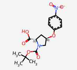 CC(C)(C)OC(=O)N1C[C@H](Oc2ccc([N+](=O)[O-])cc2)C[C@H]1C(=O)O